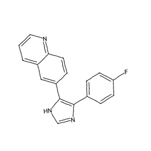 Fc1ccc(-c2nc[nH]c2-c2ccc3ncccc3c2)cc1